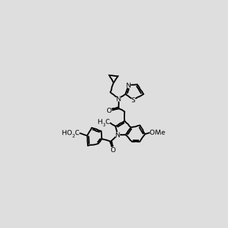 COc1ccc2c(c1)c(CC(=O)N(CC1CC1)c1nccs1)c(C)n2C(=O)c1ccc(C(=O)O)cc1